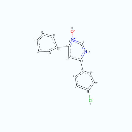 [O-][n+]1cnc(-c2ccc(Cl)cc2)cc1-c1ccccc1